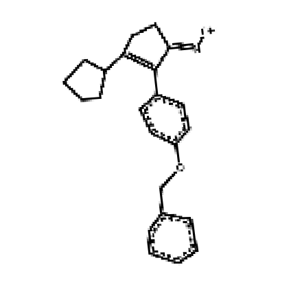 O/N=C1\CCC(C2CCCC2)=C1c1ccc(OCc2ccccc2)cc1